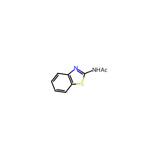 CC(=O)Nc1nc2ccc[c]c2s1